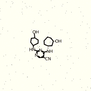 N#Cc1cnc(NC2CCC(O)CC2)nc1N[C@@H]1CCCC[C@H](O)C1